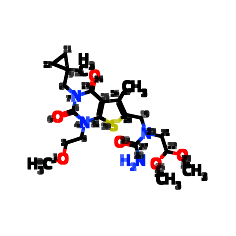 COCCn1c(=O)n(CC2(C)CC2)c(=O)c2c(C)c(CN(CC(OC)OC)C(N)=O)sc21